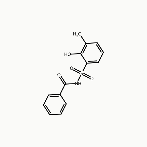 Cc1cccc(S(=O)(=O)NC(=O)c2ccccc2)c1O